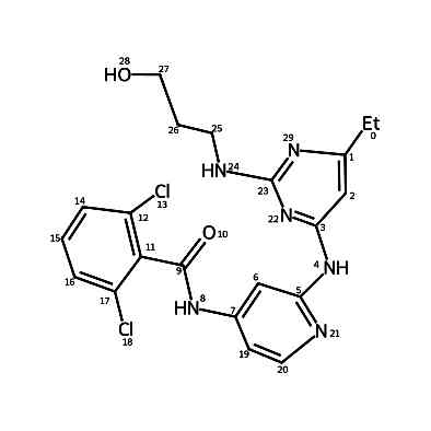 CCc1cc(Nc2cc(NC(=O)c3c(Cl)cccc3Cl)ccn2)nc(NCCCO)n1